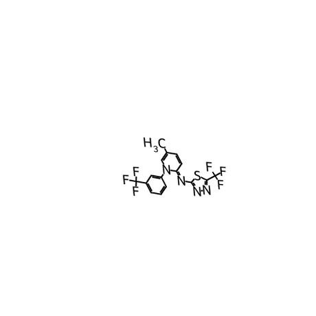 Cc1ccc(=Nc2nnc(C(F)(F)F)s2)n(-c2cccc(C(F)(F)F)c2)c1